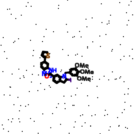 COc1cc(CN2c3cc(C(=O)Nc4cc(-c5cccs5)ccc4N)ccc3CC2I)cc(OC)c1OC